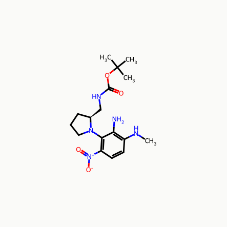 CNc1ccc([N+](=O)[O-])c(N2CCC[C@H]2CNC(=O)OC(C)(C)C)c1N